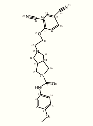 COc1ccc(NC(=O)N2CC3CN(CCOc4ccc(C#N)cc4C#N)CC3C2)cc1